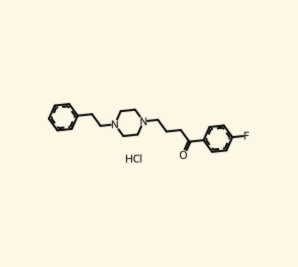 Cl.O=C(CCCN1CCN(CCc2ccccc2)CC1)c1ccc(F)cc1